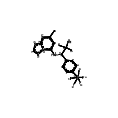 Cc1cc(N[C@@H](c2ccc(S(F)(F)(F)(F)F)cc2)C(C)(C)O)n2ncnc2n1